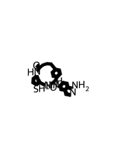 CN1Cc2cc(ccc2S)NC(=O)CCCc2ccc(cc2)[C@@H](Nc2ccc3c(N)nccc3c2)C1=O